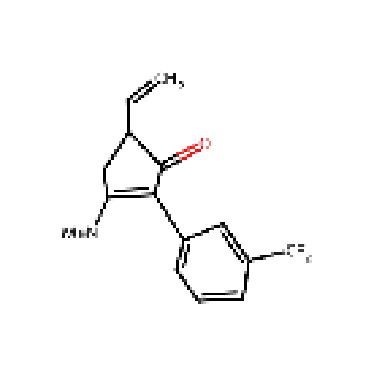 C=CC1CC(NC)=C(c2cccc(C(F)(F)F)c2)C1=O